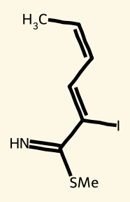 C/C=C\C=C(/I)C(=N)SC